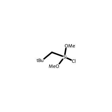 CO[Si](Cl)(CC(C)(C)C)OC